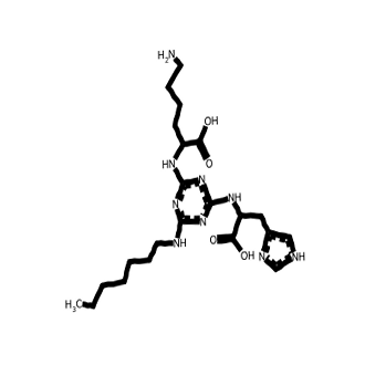 CCCCCCCNc1nc(NC(CCCCN)C(=O)O)nc(NC(Cc2c[nH]cn2)C(=O)O)n1